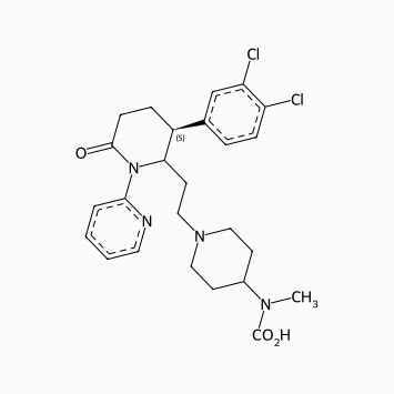 CN(C(=O)O)C1CCN(CCC2[C@H](c3ccc(Cl)c(Cl)c3)CCC(=O)N2c2ccccn2)CC1